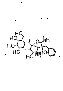 CC[C@H]1OC(C(Cc2ccccc2)(C(=O)NC)C(=O)NC)[C@H](O)C(O)[C@@H]1C[C@H]1C[C@H](CO)[C@@H](O)[C@H](O)[C@H]1O